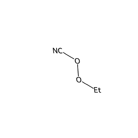 CCOOC#N